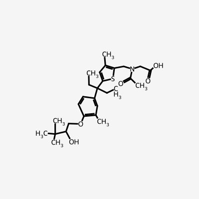 CCC(CC)(c1ccc(OCC(O)C(C)(C)C)c(C)c1)c1cc(C)c(CN(CC(=O)O)C(C)=O)s1